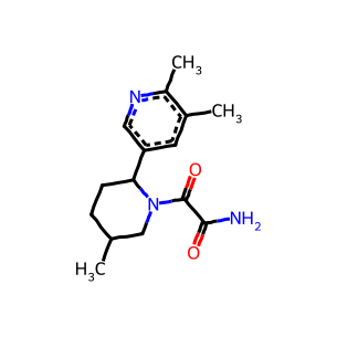 Cc1cc(C2CCC(C)CN2C(=O)C(N)=O)cnc1C